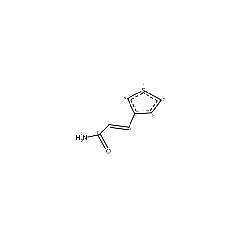 NC(=O)C=Cc1ccsc1